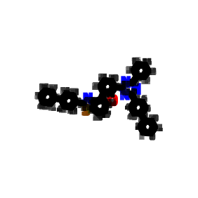 c1ccc(-c2ccc(-c3nc(-c4ccccc4)nc(-c4cccc5c4oc4ccc6sc(-c7ccc(-c8ccccc8)cc7)nc6c45)n3)cc2)cc1